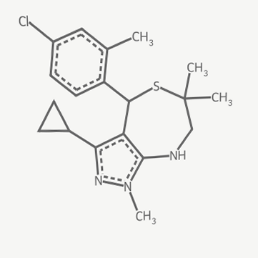 Cc1cc(Cl)ccc1C1SC(C)(C)CNc2c1c(C1CC1)nn2C